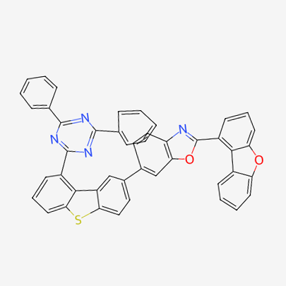 c1ccc(-c2nc(-c3ccccc3)nc(-c3cccc4sc5ccc(-c6ccc7nc(-c8cccc9oc%10ccccc%10c89)oc7c6)cc5c34)n2)cc1